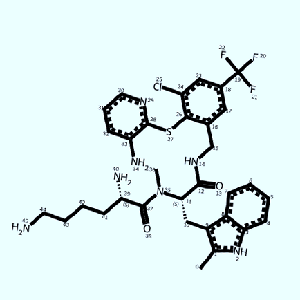 Cc1[nH]c2ccccc2c1C[C@@H](C(=O)NCc1cc(C(F)(F)F)cc(Cl)c1Sc1ncccc1N)N(C)C(=O)[C@@H](N)CCCCN